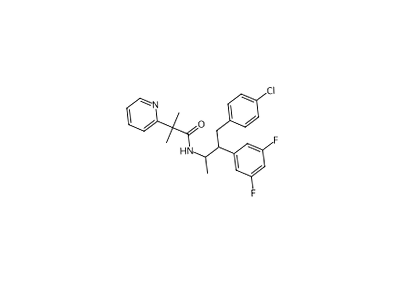 CC(NC(=O)C(C)(C)c1ccccn1)C(Cc1ccc(Cl)cc1)c1cc(F)cc(F)c1